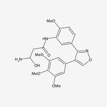 COc1ccc(-c2nocc2-c2cc(OC)c(OC)c(OC)c2)cc1NC(=O)CC(N)O